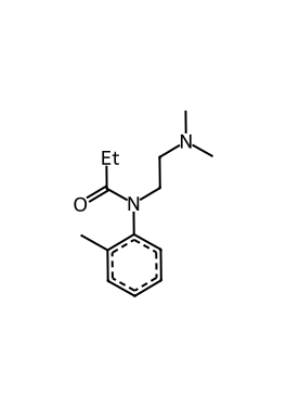 [CH2]CC(=O)N(CCN(C)C)c1ccccc1C